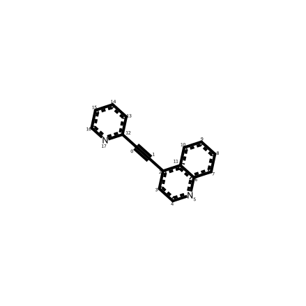 C(#Cc1ccnc2ccccc12)c1ccccn1